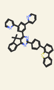 CC1(C)c2ccccc2-c2nc(-c3ccc(-c4cccc5c4sc4ccccc45)cc3)nc(-c3cc(-c4ccccn4)cc(-c4ccccn4)c3)c21